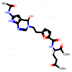 COC(=O)CC[C@@H](NC(=O)c1ccc(CCN2C=Nc3[nH]c(NC(=O)C(C)(C)C)cc3C2O)o1)C(=O)OC